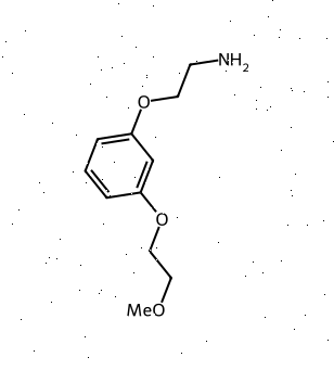 COCCOc1cccc(OCCN)c1